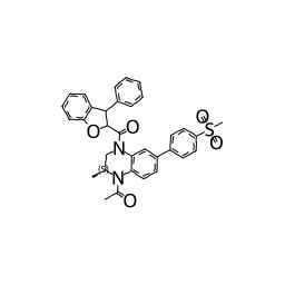 CC(=O)N1c2ccc(-c3ccc(S(C)(=O)=O)cc3)cc2N(C(=O)C2Oc3ccccc3C2c2ccccc2)C[C@@H]1C